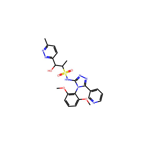 COc1cccc(OC)c1-n1c(NS(=O)(=O)C(C)C(O)c2ccc(C)nn2)nnc1-c1cccnc1